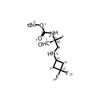 CC(C)(C)OC(=O)N[C@@](C)(C=O)CNC1CC(F)(F)C1